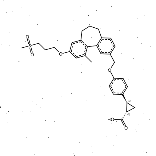 Cc1cc(OCCCS(C)(=O)=O)cc2c1-c1cc(COc3ccc([C@H]4C[C@@H]4C(=O)O)cc3)ccc1CCC2